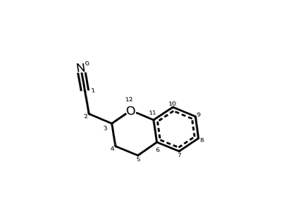 N#CCC1CCc2ccccc2O1